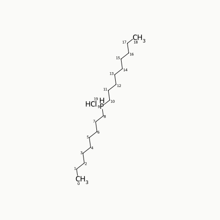 CCCCCCCCCPCCCCCCCCC.Cl